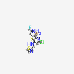 N[C@@H](CF)Cc1sc2c(NCc3nccs3)cc(Cl)nc2c1Br